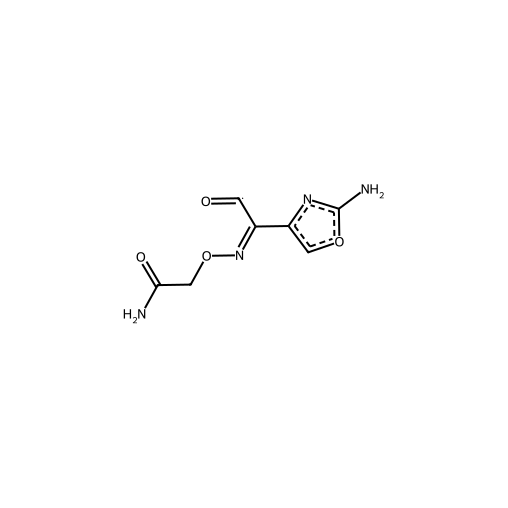 NC(=O)CON=C([C]=O)c1coc(N)n1